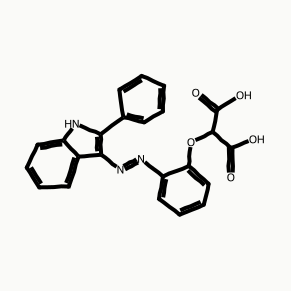 O=C(O)C(Oc1ccccc1N=Nc1c(-c2ccccc2)[nH]c2ccccc12)C(=O)O